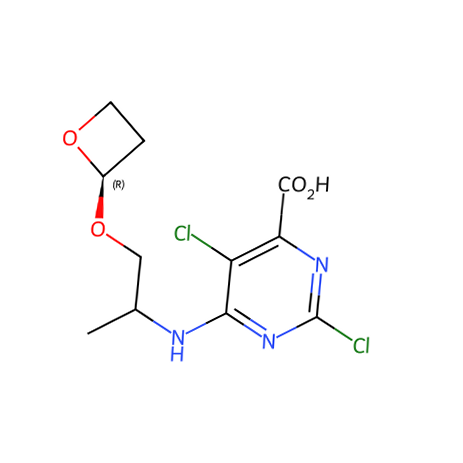 CC(CO[C@@H]1CCO1)Nc1nc(Cl)nc(C(=O)O)c1Cl